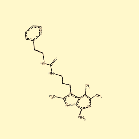 Cc1nc(N)c2nc(C)n(CCCNC(=S)NCCc3ccccc3)c2c1C